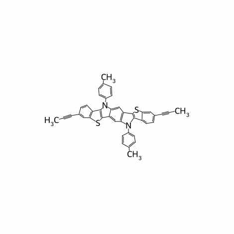 CC#Cc1ccc2c(c1)sc1c3cc4c(cc3n(-c3ccc(C)cc3)c21)c1sc2cc(C#CC)ccc2c1n4-c1ccc(C)cc1